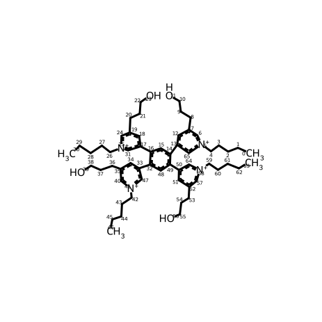 CCCCC[n+]1cc(CCCO)cc(-c2cc(-c3cc(CCCO)c[n+](CCCCC)c3)c(-c3cc(CCCO)c[n+](CCCCC)c3)cc2-c2cc(CCCO)c[n+](CCCCC)c2)c1